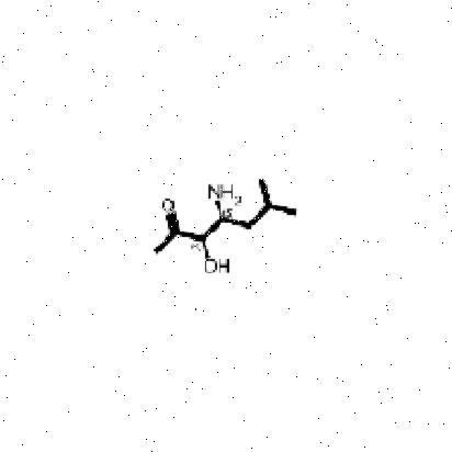 CC(=O)[C@H](O)[C@@H](N)CC(C)C